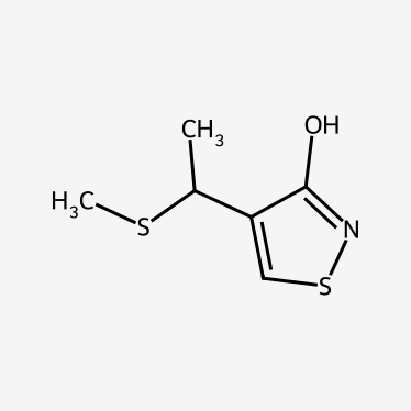 CSC(C)c1csnc1O